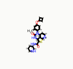 Cc1cc(OC2CCC2)ccc1N1C(=O)Nc2c(C(=O)N[C@@H]3CCCNC3)sc3nccc1c23